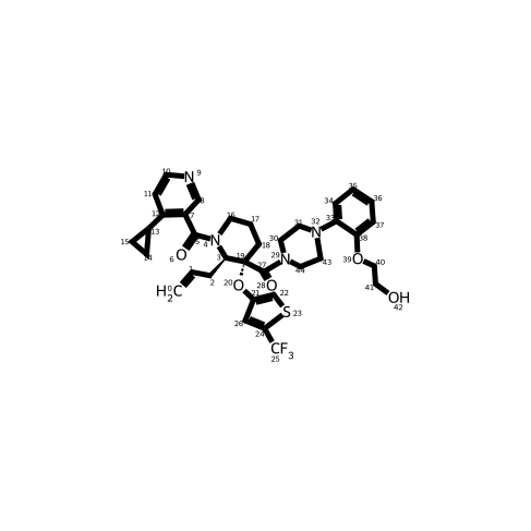 C=CC[C@H]1N(C(=O)c2cnccc2C2CC2)CCC[C@@]1(Oc1csc(C(F)(F)F)c1)C(=O)N1CCN(c2ccccc2OCCO)CC1